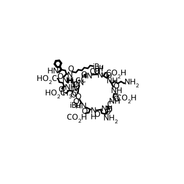 CCC(C)CCCCCCC(=O)NC(Cc1c[nH]c2ccccc12)C(=O)NC(CCC(=O)O)C(=O)NC(CC(=O)O)C(=O)NC1C(=O)N(C)CC(=O)NC(C)C(=O)NC(CC(=O)O)C(=O)NC(CCCCN)C(=O)NC(CC(=O)O)C(=O)NCC(=O)NC(CC(N)=O)C(=O)NC(CCC(=O)O)C(=O)NC(C(C)CC)C(=O)OC1C